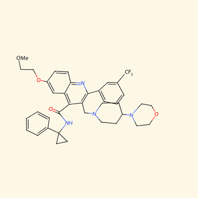 COCCOc1ccc2nc(-c3cccc(C(F)(F)F)c3)c(CN3CCC(N4CCOCC4)CC3)c(C(=O)NC3(c4ccccc4)CC3)c2c1